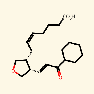 O=C(O)CCC/C=C\C[C@H]1COC[C@H]1/C=C/C(=O)C1CCCCC1